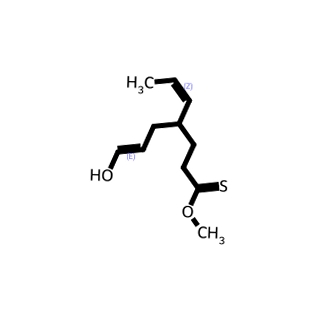 C/C=C\C(C/C=C/O)CCC(=S)OC